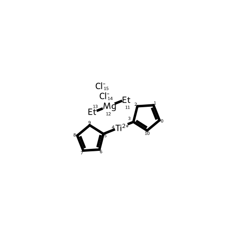 C1=CC[C]([Ti+2][C]2=CC=CC2)=C1.C[CH2][Mg][CH2]C.[Cl-].[Cl-]